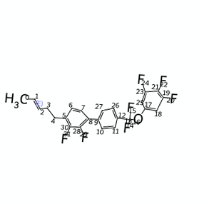 C/C=C/CCc1ccc(-c2ccc(C(F)(F)Oc3cc(F)c(F)c(F)c3)cc2)c(F)c1F